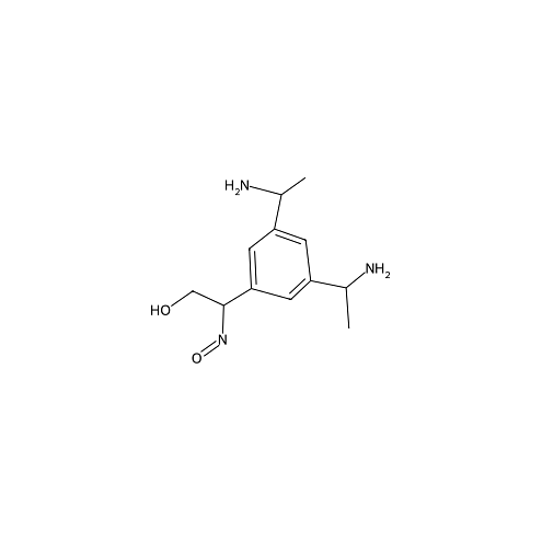 CC(N)c1cc(C(C)N)cc(C(CO)N=O)c1